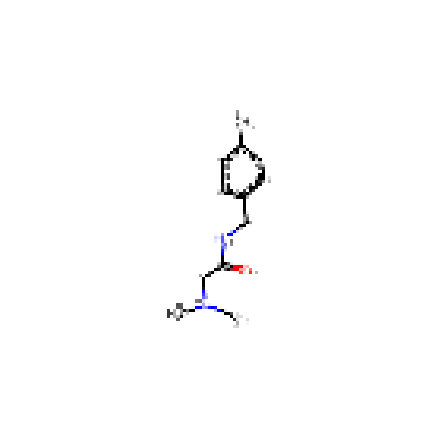 Cc1ccc(CNC(=O)CN(C)C)cc1